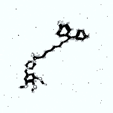 COc1cc(CN2CCN(C(=O)CCCCCCCC(c3ccc(F)cc3)c3ccc(F)cc3)CC2)cc(OC)c1OC